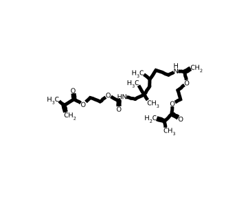 C=C(NCCC(C)CC(C)(C)CNC(=O)OCCOC(=O)C(=C)C)OCCOC(=O)C(=C)C